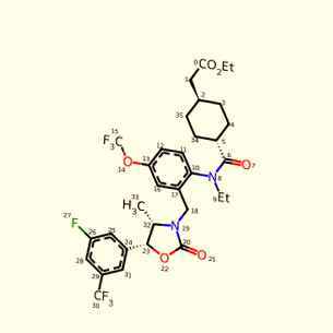 CCOC(=O)C[C@H]1CC[C@H](C(=O)N(CC)c2ccc(OC(F)(F)F)cc2CN2C(=O)O[C@H](c3cc(F)cc(C(F)(F)F)c3)[C@@H]2C)CC1